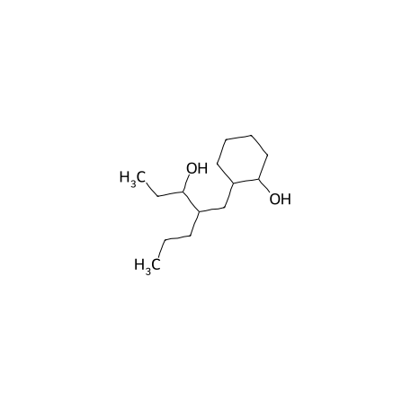 CCCC(CC1CCCCC1O)C(O)CC